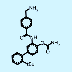 CC(C)(C)c1ccccc1-c1ccc(OC(N)=O)c(NC(=O)c2ccc(CN)cc2)c1